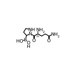 NC(=O)CC[C@H](N)C(=O)N1NCCC1B(O)O